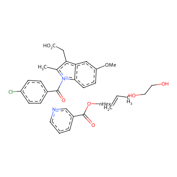 C=CC.CCCCCCOC(=O)c1cccnc1.COc1ccc2c(c1)c(CC(=O)O)c(C)n2C(=O)c1ccc(Cl)cc1.OCCO